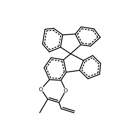 C=CC1=C(C)Oc2ccc3c(c2O1)-c1ccccc1C31c2ccccc2-c2ccccc21